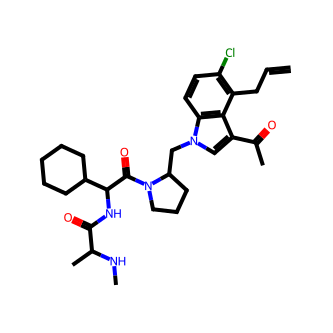 C=CCc1c(Cl)ccc2c1c(C(C)=O)cn2CC1CCCN1C(=O)C(NC(=O)C(C)NC)C1CCCCC1